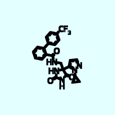 O=C1NC(=O)C(CNC(=O)c2ccccc2-c2ccc(C(F)(F)F)cc2)(c2ccnn2C2CC2)N1